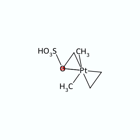 [CH3][Pt]12([CH3])([O]S(=O)(=O)O)([CH2][CH2]1)[CH2][CH2]2